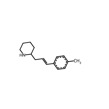 Cc1ccc(/C=C/CC2CCCCN2)cc1